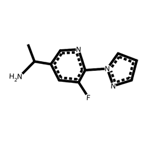 CC(N)c1cnc(-n2cccn2)c(F)c1